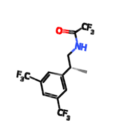 C[C@@H](CNC(=O)C(F)(F)F)c1cc(C(F)(F)F)cc(C(F)(F)F)c1